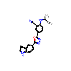 CC(C)Nc1ccc(-c2nnc(-c3ccc4[nH]ccc4c3)o2)cc1C#N